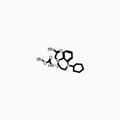 CC(C)(C)OC(=O)N[C@H]1CCN(C2CCCCC2)c2ccccc2N1CC(=O)C(C)(C)C